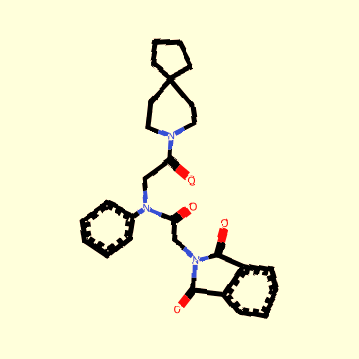 O=C(CN(C(=O)CN1C(=O)c2ccccc2C1=O)c1ccccc1)N1CCC2(CCCC2)CC1